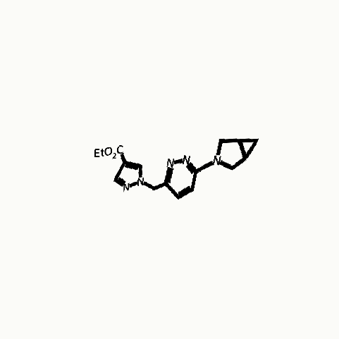 CCOC(=O)c1cnn(Cc2ccc(N3CC4CC4C3)nn2)c1